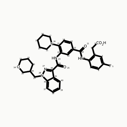 O=C(O)Cc1cc(F)ccc1NC(=O)c1ccc(N2CCCCC2)c(NC(=O)c2nn(CC3CCCOC3)c3ccccc23)c1